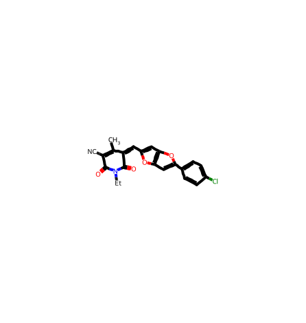 CCN1C(=O)C(C#N)=C(C)/C(=C/c2cc3oc(-c4ccc(Cl)cc4)cc3o2)C1=O